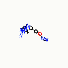 CN1CCN(CCCOc2ccc(C3CCN(Cc4cc5cnc(C#N)nc5n4CC(C)(C)C)CC3)cc2)CC1